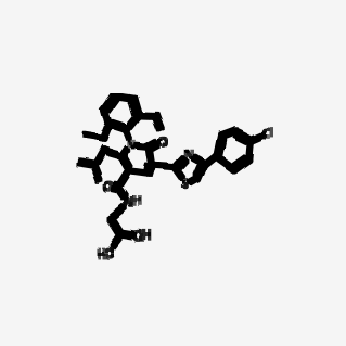 CCc1cccc(CC)c1-n1c(CC(C)C)c(C(=O)NCC(O)O)cc(-c2nc(-c3ccc(Cl)cc3)cs2)c1=O